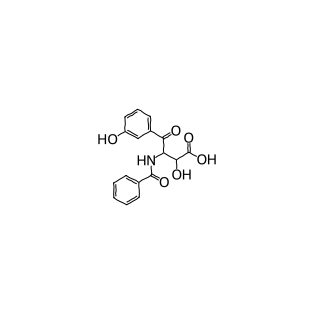 O=C(NC(C(=O)c1cccc(O)c1)C(O)C(=O)O)c1ccccc1